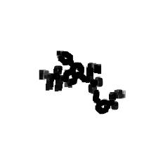 CCNC(=O)Nc1cc2c(-c3ccncc3)ccc(CNC(=O)OCCC3CCCN(C(=O)OC(C)(C)C)C3)c2cn1.Cl